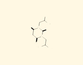 CC(O)CN1C(=O)CC(=O)N(CC(C)O)C1=O